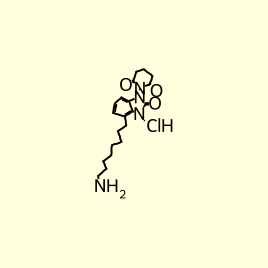 Cl.Cn1c(=O)n(N2C(=O)CCCC2=O)c2cccc(CCCCCCCCN)c21